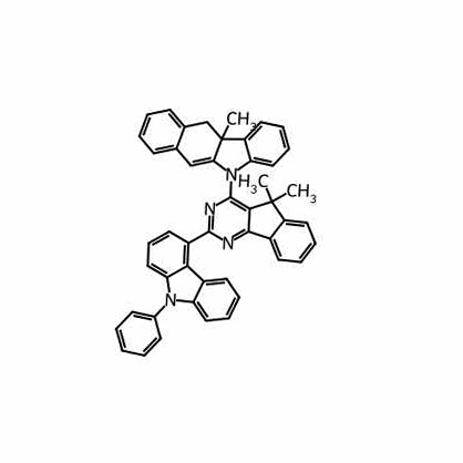 CC12Cc3ccccc3C=C1N(c1nc(-c3cccc4c3c3ccccc3n4-c3ccccc3)nc3c1C(C)(C)c1ccccc1-3)c1ccccc12